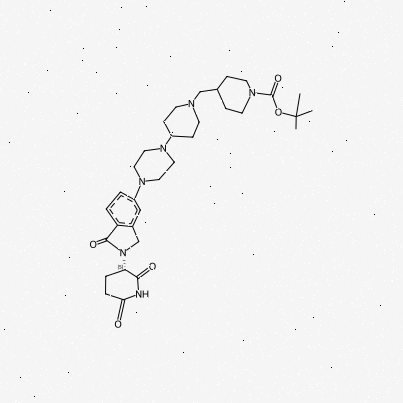 CC(C)(C)OC(=O)N1CCC(CN2CCC(N3CCN(c4ccc5c(c4)CN([C@H]4CCC(=O)NC4=O)C5=O)CC3)CC2)CC1